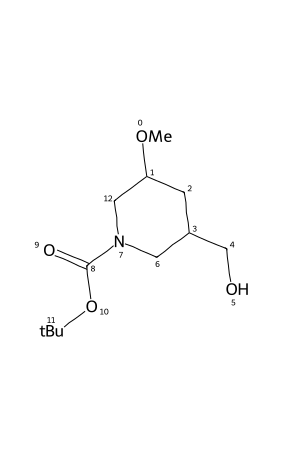 COC1CC(CO)CN(C(=O)OC(C)(C)C)C1